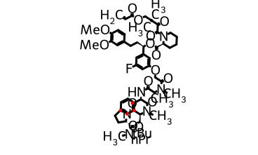 C=CC(=O)OCC(C)(C)C(=O)C(=O)N1CCCC[C@H]1C(=O)O[C@H](CCc1ccc(OC)c(OC)c1)c1cc(F)cc(OCC(=O)N(C)[C@@H](C)C(=O)N[C@@H](C(=O)N(C)[C@@H](COC(C)(C)C)C(=O)N2CCC[C@H]2C(=O)N(C)CCC)c2ccccc2)c1